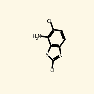 Nc1c(Cl)ccc2nc(Cl)sc12